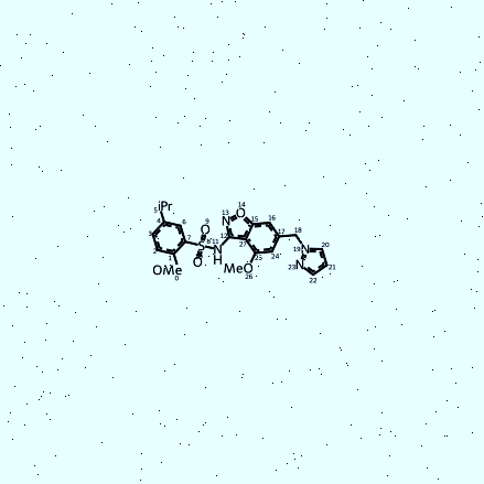 COc1ccc(C(C)C)cc1S(=O)(=O)Nc1noc2cc(Cn3cccn3)cc(OC)c12